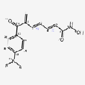 C=C(/C=C/C=C/C(=O)NO)C(=O)c1ccc(N(C)C)cc1